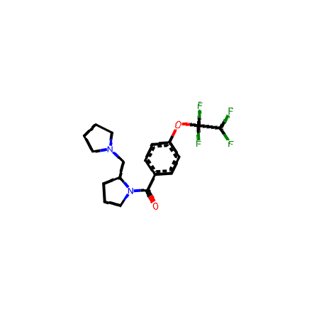 O=C(c1ccc(OC(F)(F)C(F)F)cc1)N1CCCC1CN1CCCC1